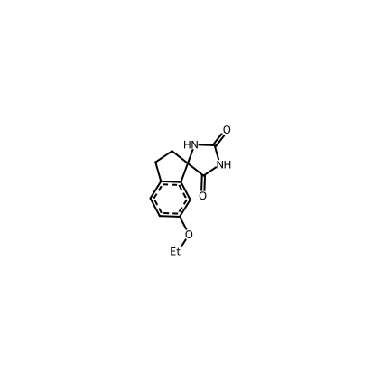 CCOc1ccc2c(c1)C1(CC2)NC(=O)NC1=O